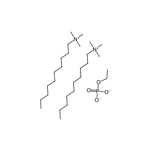 CCCCCCCCCC[N+](C)(C)C.CCCCCCCCCC[N+](C)(C)C.CCOP(=O)([O-])[O-]